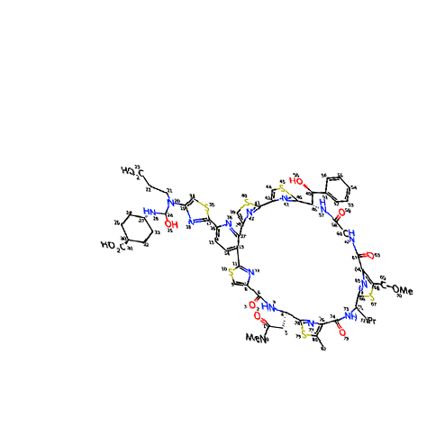 CNC(=O)C[C@@H]1NC(=O)c2csc(n2)-c2ccc(-c3nc(N(CCC(=O)O)C(O)N[C@H]4CC[C@H](C(=O)O)CC4)cs3)nc2-c2csc(n2)-c2csc(n2)[C@H]([C@@H](O)c2ccccc2)NC(=O)CNC(=O)c2nc(sc2COC)C(C(C)C)NC(=O)c2nc1sc2C